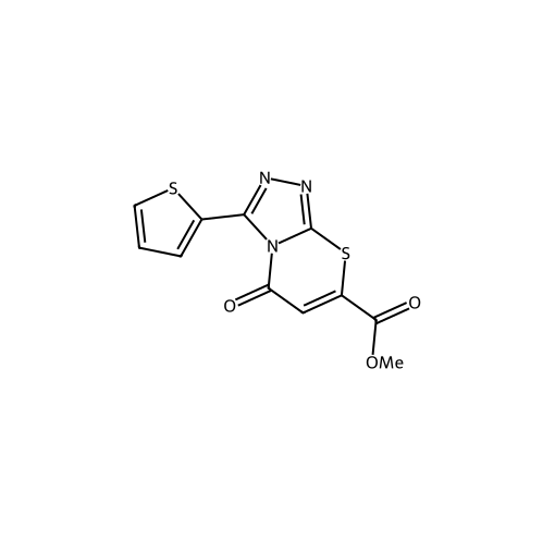 COC(=O)c1cc(=O)n2c(-c3cccs3)nnc2s1